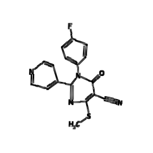 CSc1nc(-c2ccncc2)n(-c2ccc(F)cc2)c(=O)c1C#N